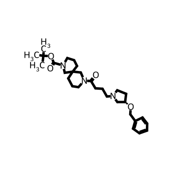 CC(C)(C)OC(=O)N1CCCC2(CCCN(C(=O)CCCN3CC[C@@H](OCc4ccccc4)C3)C2)C1